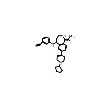 C/C(N)=C1/NCCC(Nc2cccc(C#N)c2)c2cc(C3=CCN(C4CCCC4)CC3)ccc21